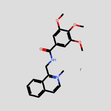 COc1cc(C(=O)NCc2c3ccccc3cc[n+]2C)cc(OC)c1OC.[I-]